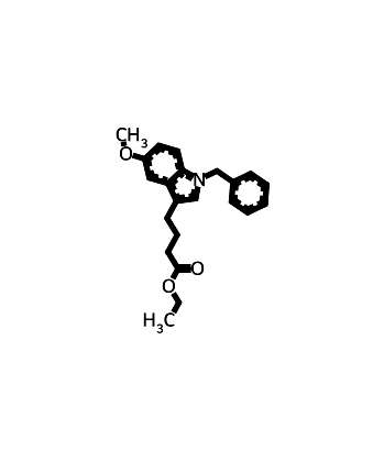 CCOC(=O)CCCc1cn(Cc2ccccc2)c2ccc(OC)cc12